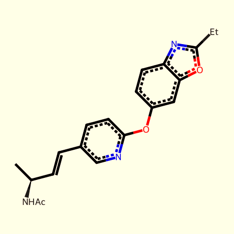 CCc1nc2ccc(Oc3ccc(/C=C/[C@H](C)NC(C)=O)cn3)cc2o1